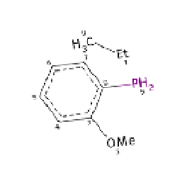 CCC.COc1ccccc1P